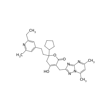 CCc1cc(CCC2(C3CCCC3)CC(O)=C(Cc3nc4nc(C)cc(C)n4n3)C(=O)O2)cc(C)n1